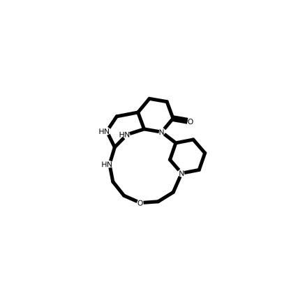 O=C1CCC2CNC3NCCOCCN4CCCC(C4)N1C2N3